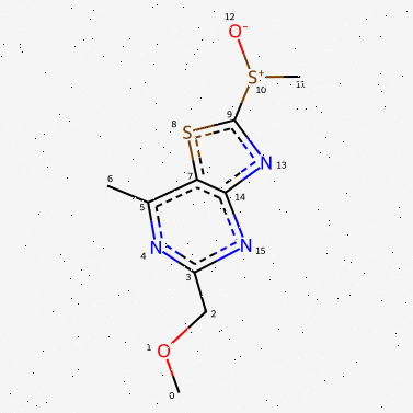 COCc1nc(C)c2sc([S+](C)[O-])nc2n1